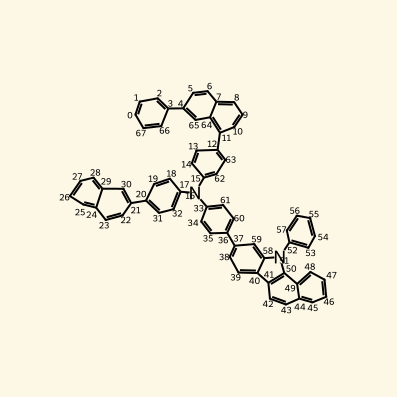 c1ccc(-c2ccc3cccc(-c4ccc(N(c5ccc(-c6ccc7ccccc7c6)cc5)c5ccc(-c6ccc7c8ccc9ccccc9c8n(-c8ccccc8)c7c6)cc5)cc4)c3c2)cc1